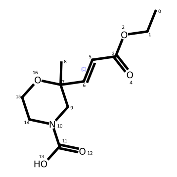 CCOC(=O)/C=C/C1(C)CN(C(=O)O)CCO1